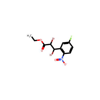 CCOC(=O)C(Br)C(Br)c1cc(F)ccc1[N+](=O)[O-]